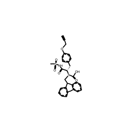 C#CCOc1ccc(C[C@@H](C(=O)NS(C)(=O)=O)N(CC2c3ccccc3-c3ccccc32)C(=O)O)cc1